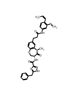 C=Nc1cc(NC(=O)CCc2ccc3c(c2)N(C)C(=O)[C@H](NC(=O)c2n[nH]c(Cc4ccccc4)n2)CO3)ccc1/C=C\C